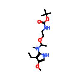 CCc1c(OC)c[nH]c1N(C)C(C)OCCNC(=O)OC(C)(C)C